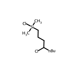 CCCCC(Cl)CCC[Si](C)(C)Cl